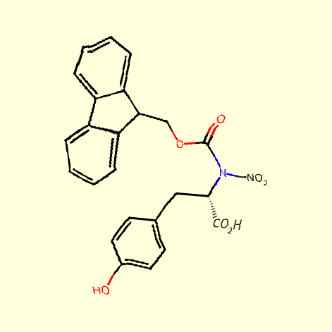 O=C(O)[C@H](Cc1ccc(O)cc1)N(C(=O)OCC1c2ccccc2-c2ccccc21)[N+](=O)[O-]